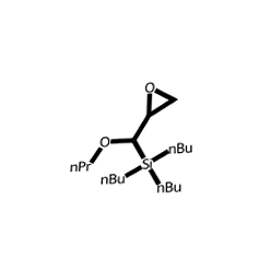 CCCC[Si](CCCC)(CCCC)C(OCCC)C1CO1